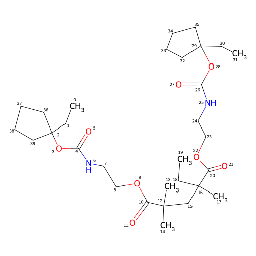 CCC1(OC(=O)NCCOC(=O)C(C)(C)CC(C)(CC)C(=O)OCCNC(=O)OC2(CC)CCCC2)CCCC1